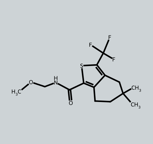 COCNC(=O)c1sc(C(F)(F)F)c2c1CCC(C)(C)C2